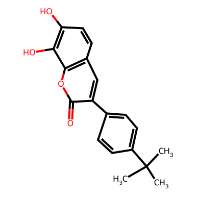 CC(C)(C)c1ccc(-c2cc3ccc(O)c(O)c3oc2=O)cc1